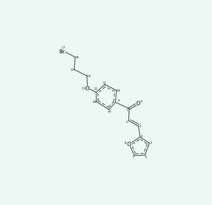 O=C(C=Cc1ccco1)c1ccc(OCCCBr)cc1